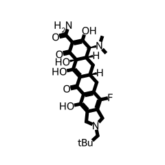 CN(C)[C@@H]1C(O)=C(C(N)=O)C(=O)[C@@]2(O)C(O)=C3C(=O)c4c(O)c5c(c(F)c4C[C@H]3C[C@@H]12)CN(CC(C)(C)C)C5